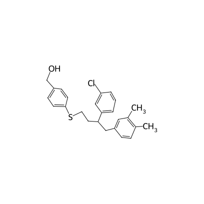 Cc1ccc(CC(CCSc2ccc(CO)cc2)c2cccc(Cl)c2)cc1C